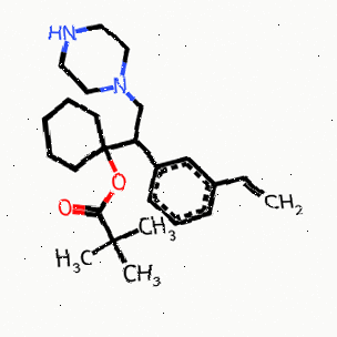 C=Cc1cccc(C(CN2CCNCC2)C2(OC(=O)C(C)(C)C)CCCCC2)c1